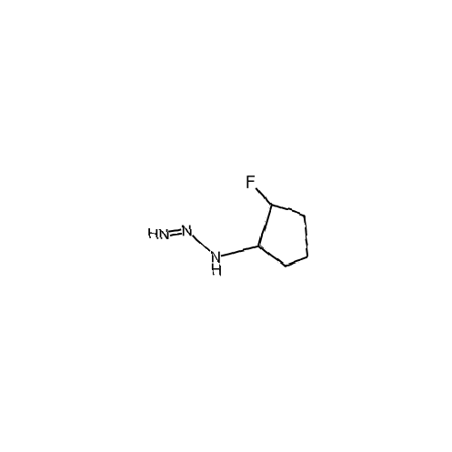 N=NNC1CCCC1F